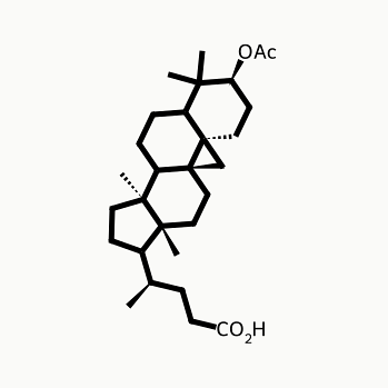 CC(=O)O[C@H]1CC[C@]23C[C@]24CC[C@]2(C)C([C@H](C)CCC(=O)O)CC[C@@]2(C)C4CCC3C1(C)C